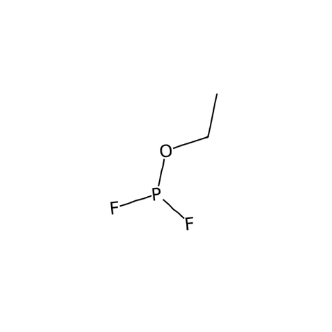 CCOP(F)F